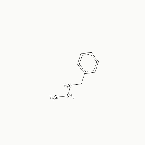 [SiH3][SiH2][SiH2]Cc1ccccc1